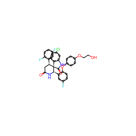 O=C1C[C@@H](c2cc(F)ccc2F)[C@]2(C(=O)Nc3cc(Cl)ccc32)[C@@H](c2cc(F)ccc2Oc2ccc(OCCO)cc2)N1